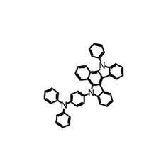 c1ccc(N(c2ccccc2)c2ccc(-n3c4ccccc4c4c5c6ccccc6n(-c6ccccc6)c5c5ccccc5c43)cc2)cc1